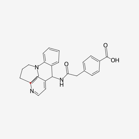 O=C(Cc1ccc(C(=O)O)cc1)NC(c1ccncc1)c1ccccc1N1CCCCC1